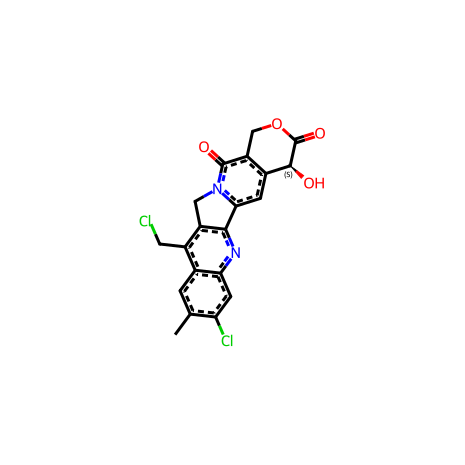 Cc1cc2c(CCl)c3c(nc2cc1Cl)-c1cc2c(c(=O)n1C3)COC(=O)[C@H]2O